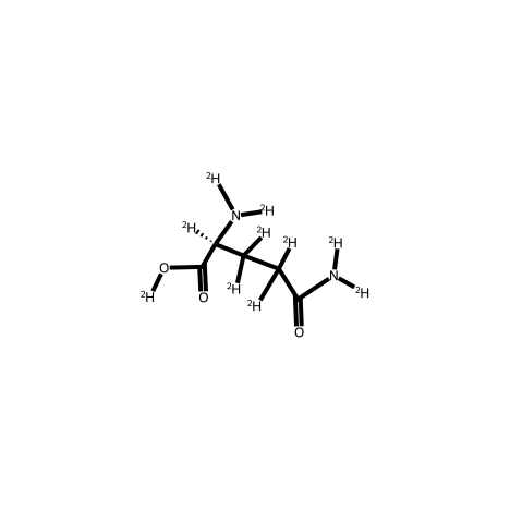 [2H]OC(=O)[C@@]([2H])(N([2H])[2H])C([2H])([2H])C([2H])([2H])C(=O)N([2H])[2H]